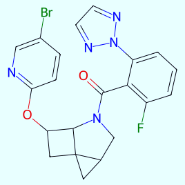 O=C(c1c(F)cccc1-n1nccn1)N1CC2CC23CC(Oc2ccc(Br)cn2)C13